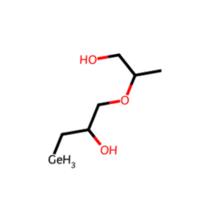 CC(CO)OCC(O)[CH2][GeH3]